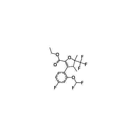 CCOC(=O)C1=C(c2ccc(F)cc2OC(F)F)C(C)C(C)(C(F)(F)F)O1